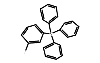 Ic1cccc([Si](c2ccccc2)(c2ccccc2)c2ccccc2)c1